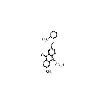 Cc1ccc2c(=O)c3cc(CCc4ccccc4C)ccc3n(CC(=O)O)c2c1